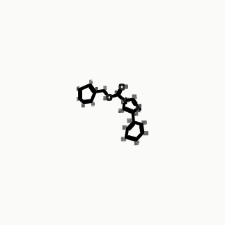 O=C(OCc1ccccc1)n1cnc(-c2ccccc2)c1